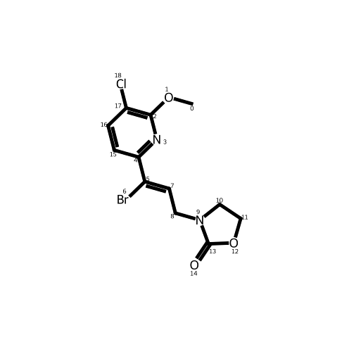 COc1nc(/C(Br)=C/CN2CCOC2=O)ccc1Cl